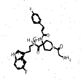 CN(CCc1c[nH]c2ccc(F)cc12)C(=O)C1(NC(=O)C=Cc2ccc(F)cc2)CCN(C(=O)CN)CC1